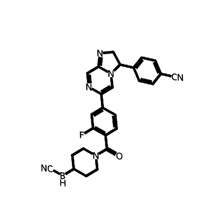 N#CBC1CCN(C(=O)c2ccc(C3=CN4C(=NCC4c4ccc(C#N)cc4)C=N3)cc2F)CC1